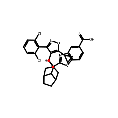 O=C(O)c1ccc2sc(C3(O)CC4CCC(C3)C4OCc3c(-c4c(Cl)cccc4Cl)noc3C3CC3)nc2c1